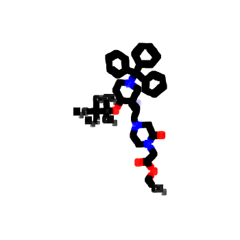 CCOC(=O)CN1CCN(C/C=C2/CN(C(c3ccccc3)(c3ccccc3)c3ccccc3)CCC2O[Si](C)(C)C(C)(C)C)CC1=O